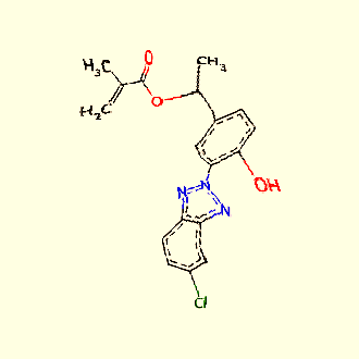 C=C(C)C(=O)OC(C)c1ccc(O)c(-n2nc3ccc(Cl)cc3n2)c1